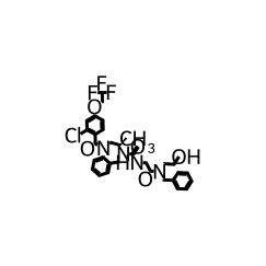 C[C@@H]1CN(C(=O)c2ccc(OCC(F)(F)F)cc2Cl)c2ccccc2CN1C(=O)NCC(=O)N(CCO)Cc1ccccc1